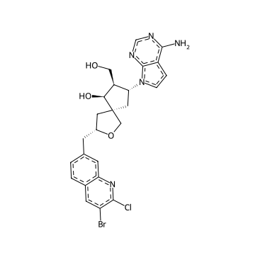 Nc1ncnc2c1ccn2[C@@H]1C[C@@]2(CO[C@H](Cc3ccc4cc(Br)c(Cl)nc4c3)C2)[C@@H](O)[C@H]1CO